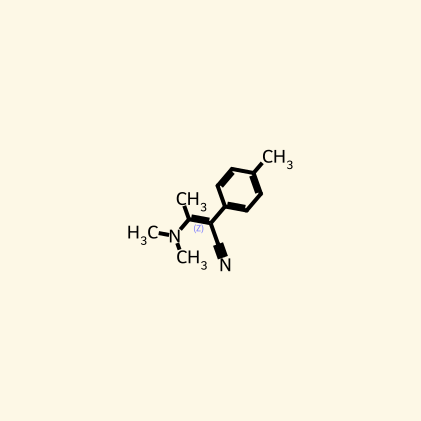 C/C(=C(/C#N)c1ccc(C)cc1)N(C)C